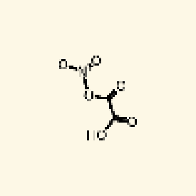 O=C(O)C(=O)O[N+](=O)[O-]